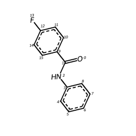 O=C(Nc1c[c]ccc1)c1ccc(F)cc1